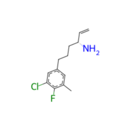 C=C[C@H](N)CCCc1cc(C)c(F)c(Cl)c1